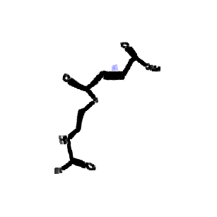 CCC(=O)NCCSC(=O)/C=C/C(=O)OC